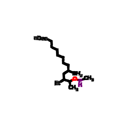 BC(CCCCCCCCCCCCCCCCC)CC(CC)C(C)OPC